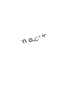 Cc1noc(NC(=O)N2CC/C(=C\c3cccc(Oc4ccc(Br)cn4)c3)C(C)C2)c1C